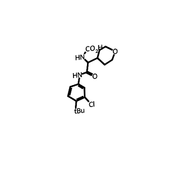 CC(C)(C)c1ccc(NC(=O)C(NC(=O)O)C2CCOCC2)cc1Cl